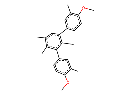 COc1ccc(-c2[c]c(C)c(C)c(-c3ccc(OC)c(C)c3)c2C)cc1C